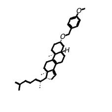 COc1ccc(CO[C@H]2CC[C@]3(C)C4=C(CC[C@H]3C2)C2=CC[C@H]([C@H](C)CCCC(C)C)[C@@]2(C)CC4)cc1